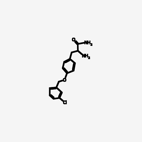 NC(=O)C(N)Cc1ccc(OCc2cccc(Cl)c2)cc1